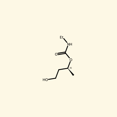 CCNC(=O)O[C@@H](C)CCO